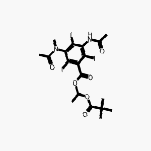 CC(=O)Nc1c(I)c(C(=O)OC(C)OC(=O)C(C)(C)C)c(I)c(N(C)C(C)=O)c1I